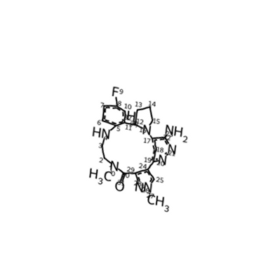 CN1CCNc2ccc(F)cc2[C@H]2CCCN2c2cc(nnc2N)-c2cn(C)nc2C1=O